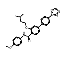 COc1ccc(NC(=O)c2ccc(-c3ccc(-n4ncnn4)cc3)cc2OCCN(C)C)cc1